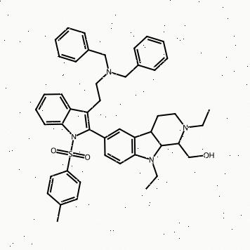 CCN1CCC2c3cc(-c4c(CCN(Cc5ccccc5)Cc5ccccc5)c5ccccc5n4S(=O)(=O)c4ccc(C)cc4)ccc3N(CC)C2C1CO